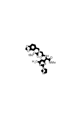 CNC(=O)C(NC(=O)CN(Cc1ccc2c(c1)OCO2)C(=O)OC(C)(C)C)c1cc(C)nc(-n2ccnc2)n1